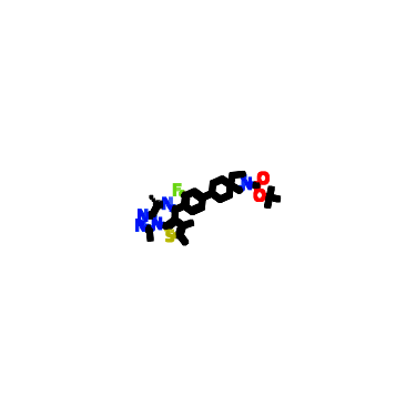 Cc1sc2c(c1C)C(c1ccc(C3CCC4(CC3)CCN(C(=O)OC(C)(C)C)C4)cc1F)=N[C@@H](C)c1nnc(C)n1-2